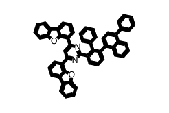 c1ccc(-c2c(-c3nc(-c4cccc5c4oc4ccccc45)cc(-c4cccc5c4oc4ccccc45)n3)cccc2-c2ccc(-c3ccccc3)c3ccccc23)cc1